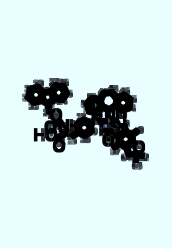 Cc1c(C)c(S(=O)(=O)/N=C(/Nc2ccc(C[C@@H](NC(=O)OCC3c4ccccc4-c4ccccc43)C(=O)O)cc2)NC2c3ccccc3CCc3ccccc32)c(C)c2c1OC(C)(C)C2